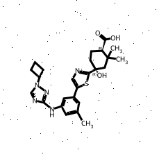 Cc1cc(Nc2ncn(C3CCC3)n2)cc(-c2cnc([C@@]3(O)CC[C@@H](C(=O)O)C(C)(C)C3)s2)c1